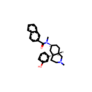 CN1CC[C@@]2(c3cccc(O)c3)C[C@@H](N(C)C(=O)c3ccc4ccccc4c3)CC[C@@H]2C1